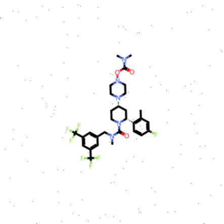 Cc1cc(F)ccc1[C@H]1C[C@@H](N2CCN(OC(=O)N(C)C)CC2)CCN1C(=O)N(C)Cc1cc(C(F)(F)F)cc(C(F)(F)F)c1